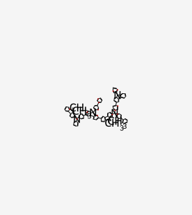 CC1(C)c2ccccc2-c2ccc(N(c3ccccc3)c3ccc(-c4ccc5c(c4)c4ccc(-c6ccc7c(c6)-c6ccc(N(c8ccc(-c9ccccc9)cc8)c8ccc(-c9ccc%10c(c9)c9ccccc9n%10-c9ccccc9)cc8)cc6C7(C)C)cc4n5-c4ccc(-c5ccccc5)cc4)cc3)cc21